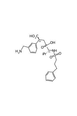 CC(C)[C@@H](NS(=O)(=O)CCCc1ccccc1)P(=O)(O)C[C@H](C(=O)O)c1cccc(CN)c1